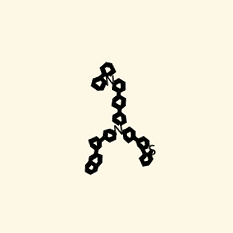 c1cc(-c2ccc(N(c3ccc(-c4ccc(-c5cccc(-n6c7ccccc7c7ccccc76)c5)cc4)cc3)c3ccc(-c4ccc5sc6ccccc6c5c4)cc3)cc2)cc(-c2ccc3ccccc3c2)c1